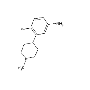 CN1CCC(c2cc(N)ccc2F)CC1